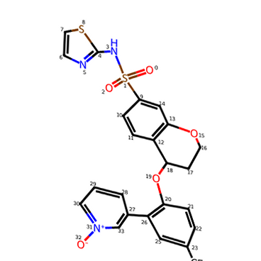 O=S(=O)(Nc1nccs1)c1ccc2c(c1)OCCC2Oc1ccc(C(F)(F)F)cc1-c1ccc[n+]([O-])c1